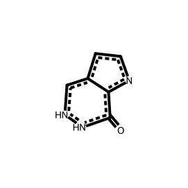 O=c1[nH][nH]cc2ccnc1-2